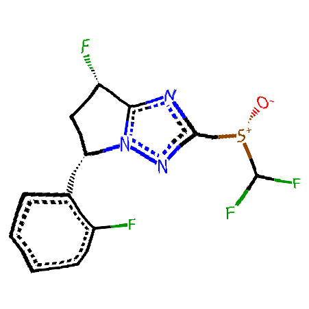 [O-][S@@+](c1nc2n(n1)[C@H](c1ccccc1F)C[C@@H]2F)C(F)F